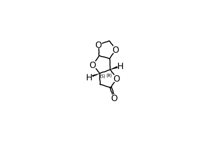 O=C1C[C@@H]2OC3OCOC3[C@@H]2O1